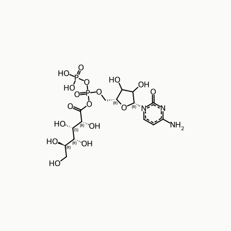 Nc1ccn([C@@H]2O[C@H](COP(=O)(OC(=O)[C@H](O)[C@@H](O)[C@H](O)[C@H](O)CO)OP(=O)(O)O)C(O)C2O)c(=O)n1